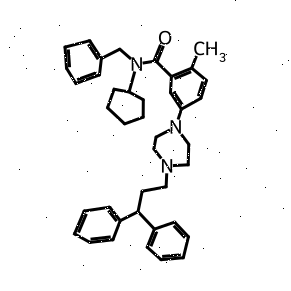 Cc1ccc(N2CCN(CCC(c3ccccc3)c3ccccc3)CC2)cc1C(=O)N(Cc1ccccc1)C1CCCCC1